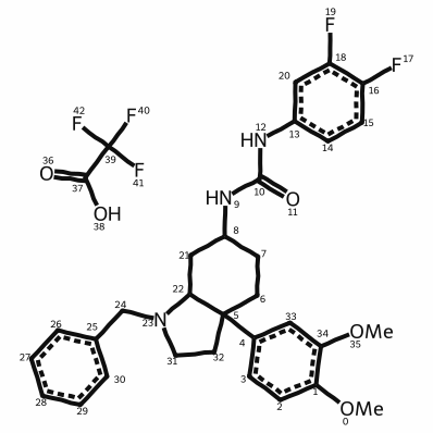 COc1ccc(C23CCC(NC(=O)Nc4ccc(F)c(F)c4)CC2N(Cc2ccccc2)CC3)cc1OC.O=C(O)C(F)(F)F